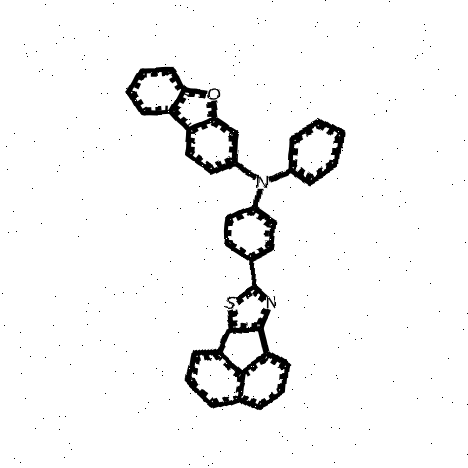 c1ccc(N(c2ccc(-c3nc4c(s3)-c3cccc5cccc-4c35)cc2)c2ccc3c(c2)oc2ccccc23)cc1